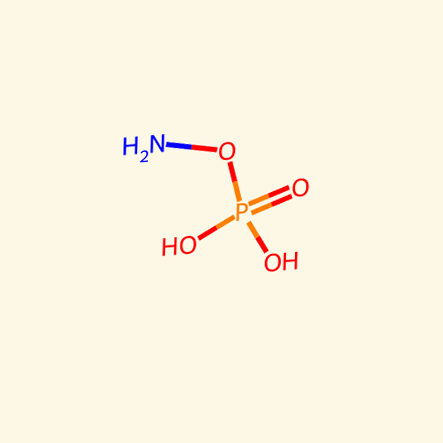 NOP(=O)(O)O